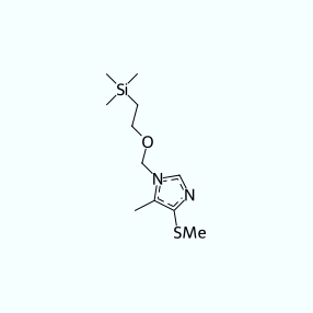 CSc1ncn(COCC[Si](C)(C)C)c1C